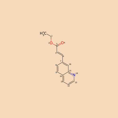 CCOC(=O)/C=C/c1ccc2cccnc2c1